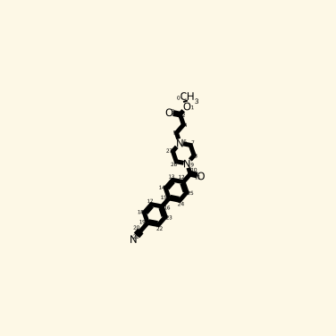 COC(=O)CCN1CCN(C(=O)c2ccc(-c3ccc(C#N)cc3)cc2)CC1